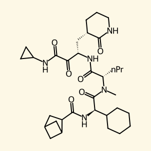 CCC[C@@H](C(=O)N[C@@H](C[C@@H]1CCCNC1=O)C(=O)C(=O)NC1CC1)N(C)C(=O)[C@H](NC(=O)C1CC2CC1C2)C1CCCCC1